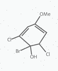 COC1=CC(Cl)C(O)(Br)C(Cl)=C1